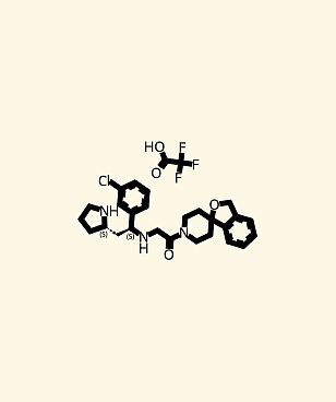 O=C(CN[C@@H](C[C@@H]1CCCN1)c1cccc(Cl)c1)N1CCC2(CC1)OCc1ccccc12.O=C(O)C(F)(F)F